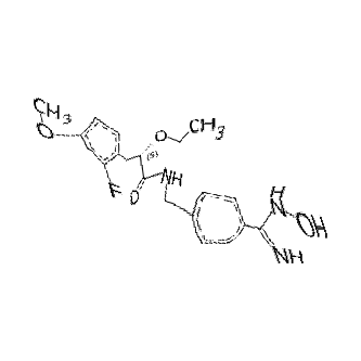 CCO[C@H](C(=O)NCc1ccc(C(=N)NO)cc1)c1ccc(OC)cc1F